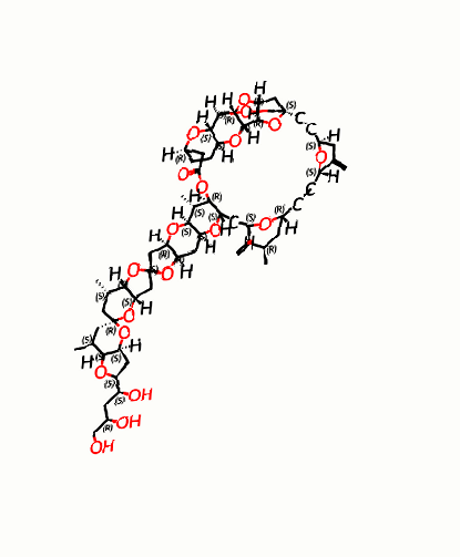 C=C1C[C@@H]2CC[C@@]34C[C@H]5O[C@H]6[C@@H](O3)[C@H]3O[C@H](CC[C@@H]3O[C@H]6[C@@H]5O4)CC(=O)O[C@@H]3[C@@H](C)[C@@H]4O[C@@H]5C[C@]6(C[C@@H]7O[C@]8(C[C@H](C)[C@@H]9O[C@H]([C@@H](O)C[C@@H](O)CO)C[C@@H]9O8)C[C@H](C)[C@@H]7O6)O[C@@H]5C[C@@H]4O[C@H]3C[C@@H]3O[C@H](CC[C@@H]1O2)C[C@@H](C)C3=C